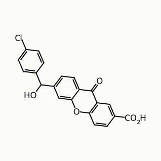 O=C(O)c1ccc2oc3cc(C(O)c4ccc(Cl)cc4)ccc3c(=O)c2c1